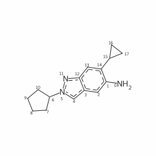 Nc1cc2cn(C3CCCC3)nc2cc1C1CC1